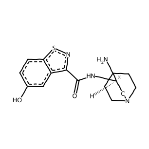 NC12CCN(CC1)C[C@H]2NC(=O)c1nsc2ccc(O)cc12